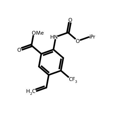 C=Cc1cc(C(=O)OC)c(NC(=O)OC(C)C)cc1C(F)(F)F